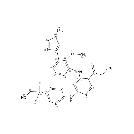 CCC(=O)c1cnc(Nc2cnc(C(F)(F)CO)cn2)cc1Nc1cccc(-c2ncn(C)n2)c1OC